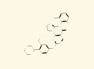 CNCc1cc(Nc2ncc3c(n2)N2CCN=C2N(c2c(Cl)cccc2Cl)C3=O)ccc1C1CNCCO1